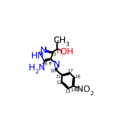 CC(O)c1n[nH]c(N)c1N=Cc1ccc([N+](=O)[O-])cc1